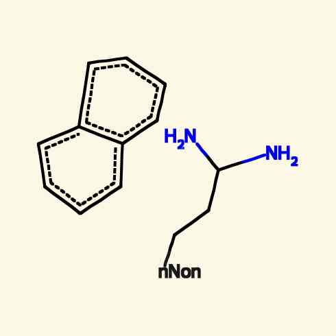 CCCCCCCCCCCC(N)N.c1ccc2ccccc2c1